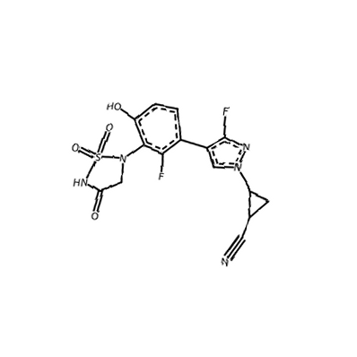 N#CC1CC1n1cc(-c2ccc(O)c(N3CC(=O)NS3(=O)=O)c2F)c(F)n1